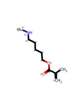 C=C(C)C(=O)OCCCCCNC(C)(C)C